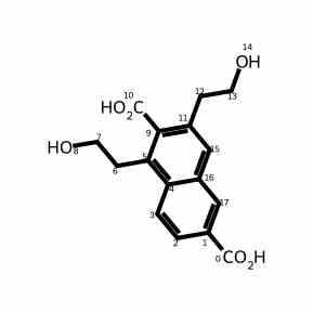 O=C(O)c1ccc2c(CCO)c(C(=O)O)c(CCO)cc2c1